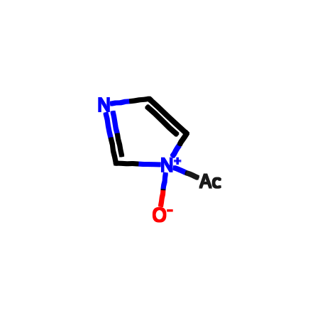 CC(=O)[N+]1([O-])C=CN=C1